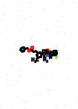 Cc1cc(/C=C/C(=O)OCc2ccccc2)cc(C(C)(C)C(=O)N[C@H]2C=C3C4C[C@H]2C[C@]3(F)C4)c1